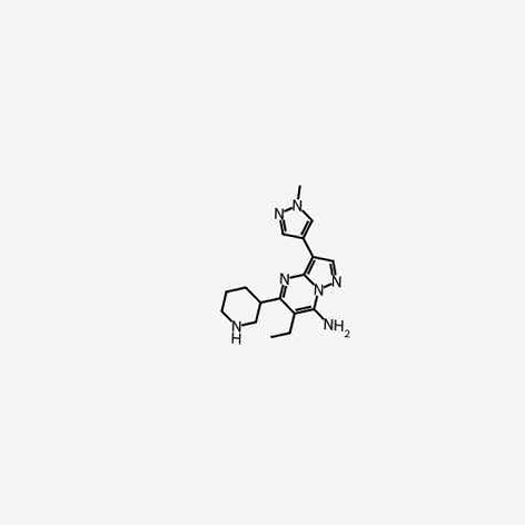 CCc1c(C2CCCNC2)nc2c(-c3cnn(C)c3)cnn2c1N